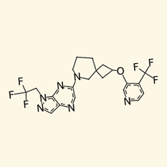 FC(F)(F)Cn1ncc2ncc(N3CCCC4(CC(Oc5cnccc5C(F)(F)F)C4)C3)nc21